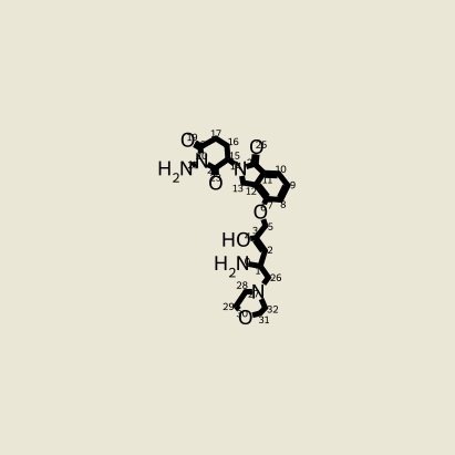 NC(/C=C(\O)COc1cccc2c1CN(C1CCC(=O)N(N)C1=O)C2=O)CN1CCOCC1